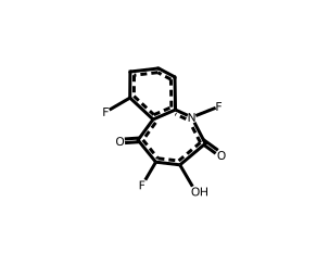 O=c1c(F)c(O)c(=O)n(F)c2cccc(F)c12